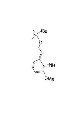 COC1=CC=C/C(=C\CO[Si](C)(C)C(C)(C)C)C1=N